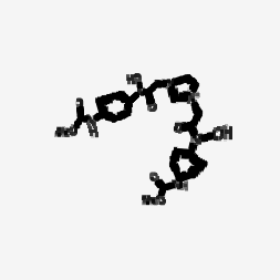 COC(=O)Nc1ccc(N(O)C(=O)Cn2cc[n+](CC(=O)N(O)c3ccc(NC(=O)OC)cc3)c2)cc1